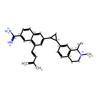 C=C(C)/C=C/c1cc(C2CC2c2ccc3c(c2)C(C(C)C)N(C)CC3)cc2ccc(C(=N)N)cc12